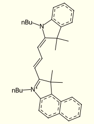 CCCCN1C(=CC=CC2=[N+](CCCC)c3ccc4ccccc4c3C2(C)C)C(C)(C)c2ccccc21